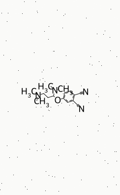 CN(C)CCC(Oc1ccc(C#N)c(C#N)c1)N(C)C